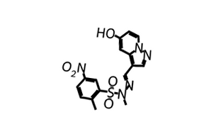 Cc1ccc([N+](=O)[O-])cc1S(=O)(=O)N(C)N=Cc1cnn2ccc(O)cc12